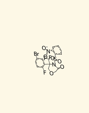 O=C1COCC(c2cc(Br)ccc2F)(C(F)F)N1S(=O)(=O)c1ccccc1[N+](=O)[O-]